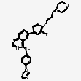 Fc1cc(-c2ccc3ncnc(Nc4ccc(-n5cncn5)cc4)c3c2)ccc1OCCCN1CCOCC1